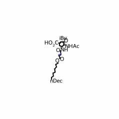 CCCCCCCCCCCCCCCCCCOC(=O)/C=C/C(=O)N[C@H]1CC(C(=O)O)=C[C@@H](OC(C)CC)[C@@H]1NC(C)=O